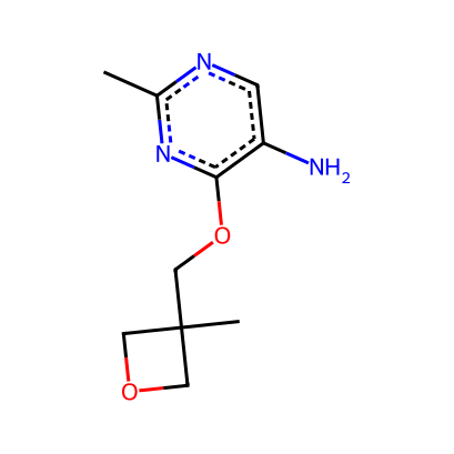 Cc1ncc(N)c(OCC2(C)COC2)n1